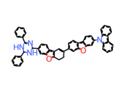 C1=C(c2ccc3c(c2)oc2cc(-n4c5ccccc5c5ccccc54)ccc23)CCc2oc3cc(C4N=C(c5ccccc5)NC(c5ccccc5)N4)ccc3c21